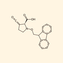 O=C=C1CCN(OCC2c3ccccc3-c3ccccc32)[C@@H]1C(=O)O